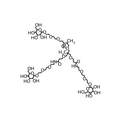 CC(COCC(C)(COCCC(=O)NCCOCCOCCO[C@H]1OC(CO)[C@@H](O)C(O)C1O)COCCC(=O)NCCOCCOCCO[C@H]1OC(CO)[C@@H](O)C(O)C1O)[NH+]([O-])CCOCCOCCO[C@H]1OC(CO)[C@@H](O)C(O)C1O